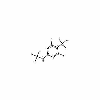 Cc1cc(NC(C)(C)C)cc(C)c1C(C)(C)C